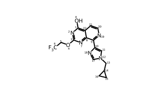 Oc1nc(OCC(F)(F)F)nc2c(-c3cn(CC4CC4)cn3)nccc12